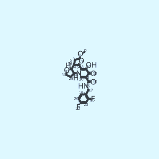 COCC[C@@]1(C)C(=O)c2c(O)c(=O)c(C(=O)NCc3ccc(F)cc3F)cn2[C@H]2CCO[C@H]21